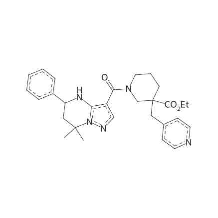 CCOC(=O)C1(Cc2ccncc2)CCCN(C(=O)c2cnn3c2NC(c2ccccc2)CC3(C)C)C1